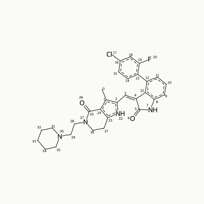 Cc1c(C=C2C(=O)Nc3cccc(-c4ccc(Cl)cc4F)c32)[nH]c2c1C(=O)N(CCN1CCCCC1)CC2